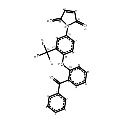 O=C(c1ccccc1)c1ccccc1Oc1ccc(N2C(=O)C=CC2=O)cc1C(F)(F)F